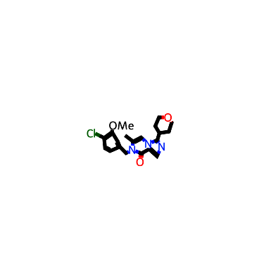 COc1cc(Cn2c(C)cn3c(C4CCOCC4)ncc3c2=O)ccc1Cl